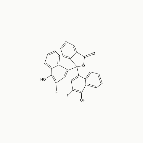 O=C1OC(c2cc(F)c(O)c3ccccc23)(c2cc(F)c(O)c3ccccc23)c2ccccc21